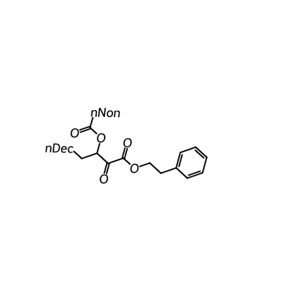 CCCCCCCCCCCC(OC(=O)CCCCCCCCC)C(=O)C(=O)OCCc1ccccc1